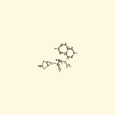 CC(NC(=O)C1C2CNCC21)c1cccc2ccccc12